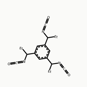 CCC(N=C=O)c1cc(C(CC)N=C=O)cc(C(CC)N=C=O)c1